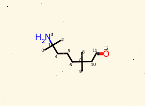 CC(C)(N)CCCC(C)(C)CC=O